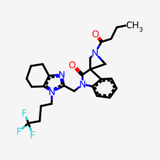 CCCC(=O)N1CC2(C1)C(=O)N(Cc1nc3c(n1CCCC(F)(F)F)CCCC3)c1ccccc12